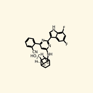 N#Cc1ccccc1-c1cc(N[C@@H]2C3CCC(CC3)[C@H]2C(=O)O)nc(-c2c[nH]c3c(F)cc(F)cc23)n1